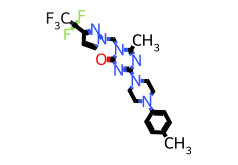 Cc1ccc(N2CCN(c3nc(C)n(Cn4ccc(C(F)(F)C(F)(F)F)n4)c(=O)n3)CC2)cc1